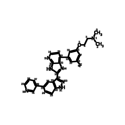 CN(C)CCOc1cc(F)cc(-c2ccnc3[nH]c(-c4n[nH]c5ccc(-c6cccnc6)cc45)nc23)c1